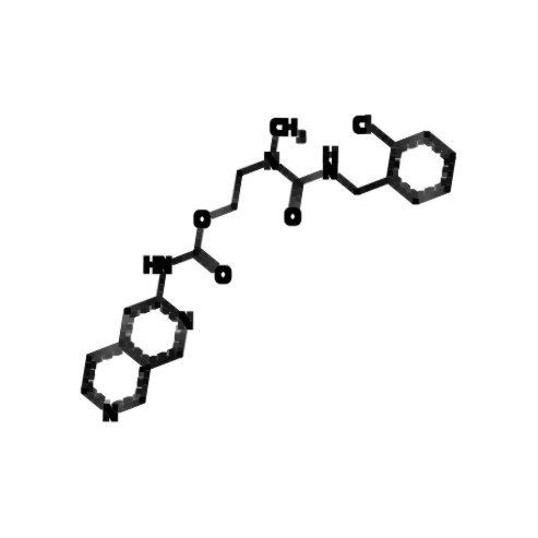 CN(CCOC(=O)Nc1cc2ccncc2cn1)C(=O)NCc1ccccc1Cl